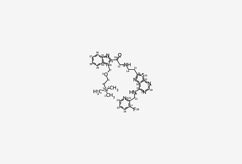 C[Si](C)(C)CCOCn1c(C(=O)CNCCc2nc3c(NCc4ncccc4F)ncnc3s2)nc2ccccc21